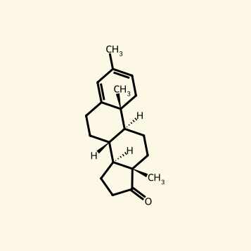 CC1=CC[C@@]2(C)C(=C1)CC[C@@H]1[C@@H]2CC[C@]2(C)C(=O)CC[C@@H]12